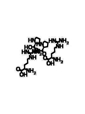 N=C(N)NCCCC(N)C(=O)O.N=C(N)NCCCC(N)C(=O)O.O=C(O)[C@@H]1CCCN1.O=C(O)[C@@H]1CCCN1